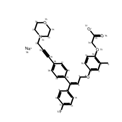 Cc1cc(OC/C=C(/c2ccc(F)cc2)c2ccc(C#CCN3CCOCC3)cc2)ccc1OCC(=O)[O-].[Na+]